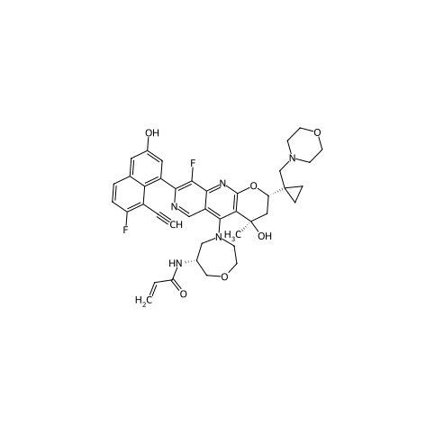 C#Cc1c(F)ccc2cc(O)cc(-c3ncc4c(N5CCOC[C@H](NC(=O)C=C)C5)c5c(nc4c3F)O[C@H](C3(CN4CCOCC4)CC3)C[C@@]5(C)O)c12